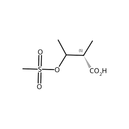 CC(OS(C)(=O)=O)[C@H](C)C(=O)O